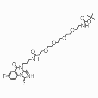 CC(C)(C)OC(=O)NCCOCCOCCOCCOCCC(=O)NCCCn1c(=O)c2cc(F)ccc2n2c(=S)[nH]nc12